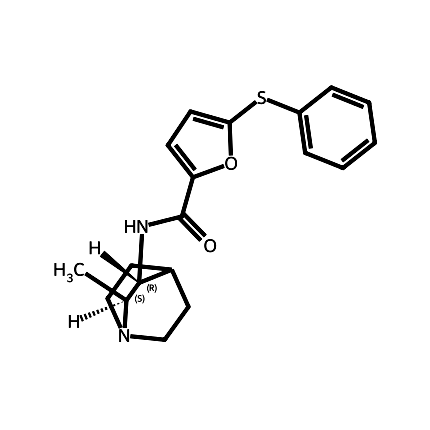 C[C@H]1[C@H](NC(=O)c2ccc(Sc3ccccc3)o2)C2CCN1CC2